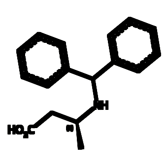 C[C@@H](CC(=O)O)NC(c1ccccc1)c1ccccc1